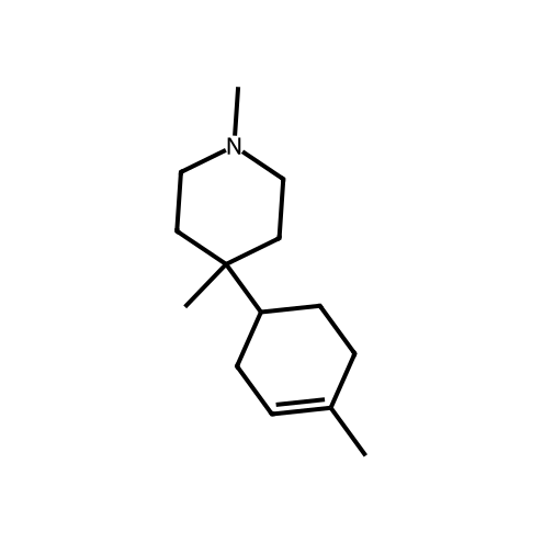 CC1=CCC(C2(C)CCN(C)CC2)CC1